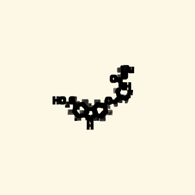 CC(C)(C)OC(=O)NC/C(=C\F)COc1ccc2[nH]c3c(c2c1)CN(C(=O)O)CC3